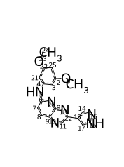 COc1cc(Nc2ccc3ncc(-c4cn[nH]c4)nc3n2)cc(OC)c1